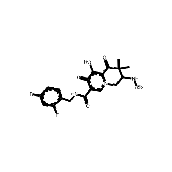 CCCCNC1Cn2cc(C(=O)NCc3ccc(F)cc3F)c(=O)c(O)c2C(=O)C1(C)C